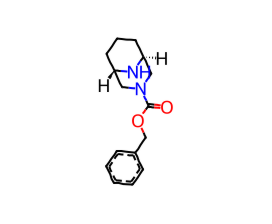 O=C(OCc1ccccc1)N1C[C@@H]2CCC[C@@H](C1)N2